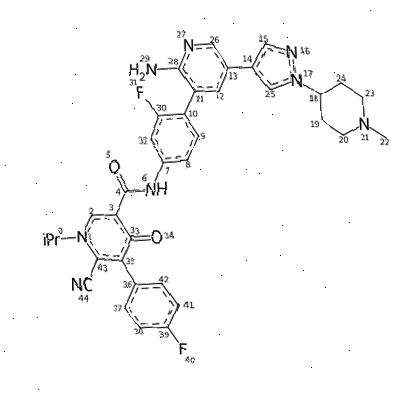 CC(C)n1cc(C(=O)Nc2ccc(-c3cc(-c4cnn(C5CCN(C)CC5)c4)cnc3N)c(F)c2)c(=O)c(-c2ccc(F)cc2)c1C#N